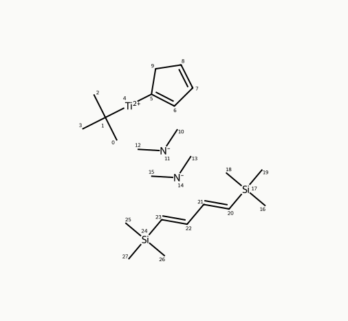 C[C](C)(C)[Ti+2][C]1=CC=CC1.C[N-]C.C[N-]C.C[Si](C)(C)C=CC=C[Si](C)(C)C